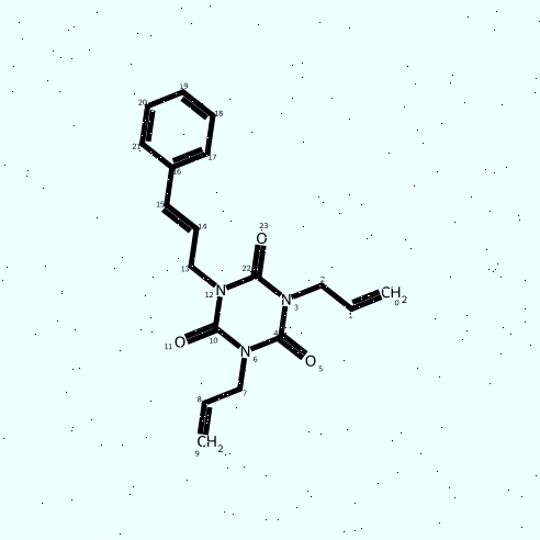 C=CCn1c(=O)n(CC=C)c(=O)n(CC=Cc2ccccc2)c1=O